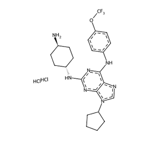 Cl.Cl.N[C@H]1CC[C@H](Nc2nc(Nc3ccc(OC(F)(F)F)cc3)c3ncn(C4CCCC4)c3n2)CC1